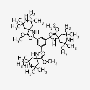 COC(=O)C1(NCc2cc(CNC3(C(=O)OC)CC(C)(C)NC(C)(C)C3)cc(CNC3(C(=O)OC)CC(C)(C)NC(C)(C)C3)c2)CC(C)(C)NC(C)(C)C1